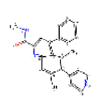 CNC(=O)c1cc(-c2ccccc2)c2c(C)c(-c3ccncc3)c(C)cc2n1